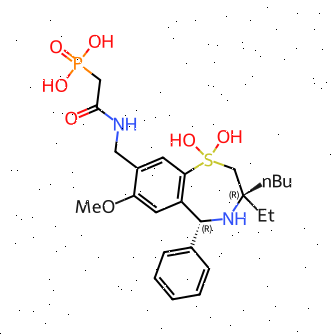 CCCC[C@]1(CC)CS(O)(O)c2cc(CNC(=O)CP(=O)(O)O)c(OC)cc2[C@@H](c2ccccc2)N1